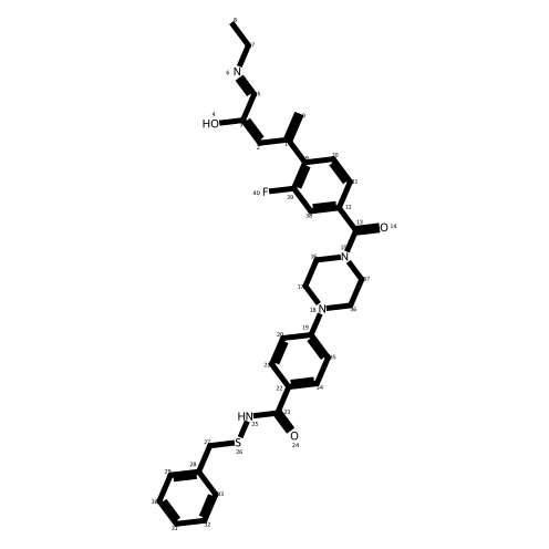 C=C(/C=C(O)\C=N\CC)c1ccc(C(=O)N2CCN(c3ccc(C(=O)NSCc4ccccc4)cc3)CC2)cc1F